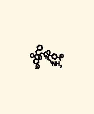 COc1ccc2c(=O)c(Cc3ccccc3)c(CC(C)CN(CCCN)C(=O)c3ccc(C(C)=O)cc3)oc2c1